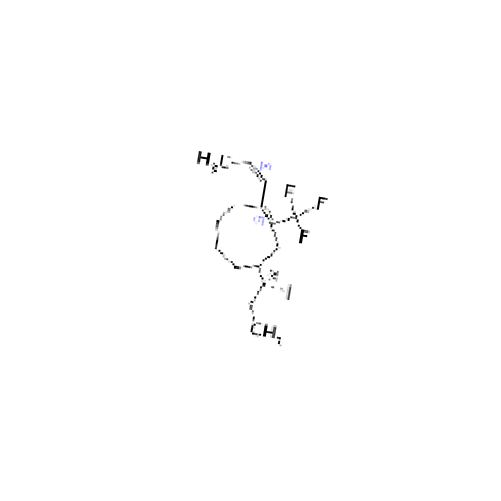 C/C=C\C1=C(/C(F)(F)F)CC([C@H](I)CC)CCCC1